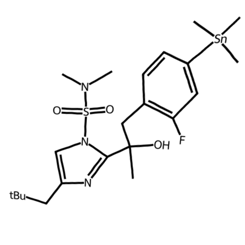 CN(C)S(=O)(=O)n1cc(CC(C)(C)C)nc1C(C)(O)Cc1cc[c]([Sn]([CH3])([CH3])[CH3])cc1F